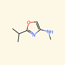 CNc1coc(C(C)C)n1